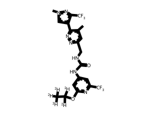 [2H]C([2H])([2H])C([2H])([2H])Oc1cc(NC(=O)NCc2cc(C)c(-c3cn(C)nc3C(F)(F)F)nn2)cc(C(F)(F)F)n1